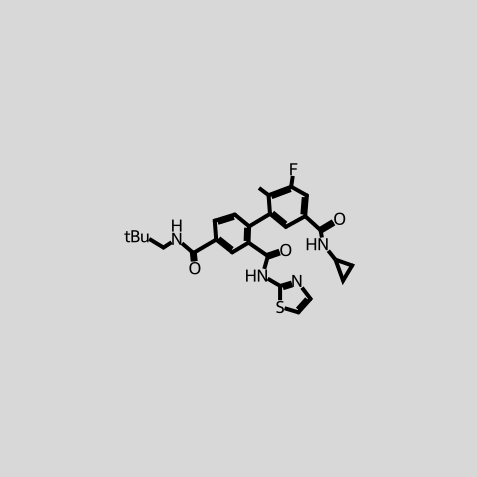 Cc1c(F)cc(C(=O)NC2CC2)cc1-c1ccc(C(=O)NCC(C)(C)C)cc1C(=O)Nc1nccs1